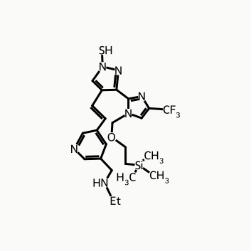 CCNCc1cncc(/C=C/c2cn(S)nc2-c2nc(C(F)(F)F)cn2COCC[Si](C)(C)C)c1